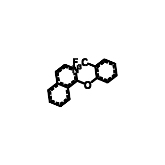 FC(F)(F)c1ccccc1Oc1nccc2ccccc12